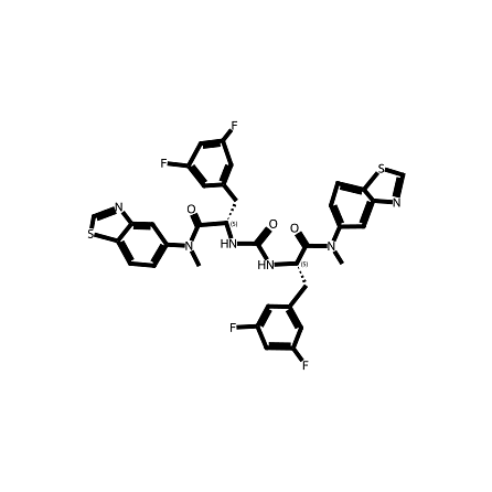 CN(C(=O)[C@H](Cc1cc(F)cc(F)c1)NC(=O)N[C@@H](Cc1cc(F)cc(F)c1)C(=O)N(C)c1ccc2scnc2c1)c1ccc2scnc2c1